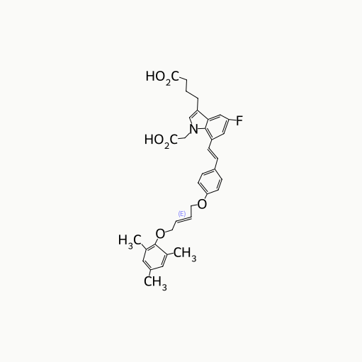 Cc1cc(C)c(OC/C=C/COc2ccc(C=Cc3cc(F)cc4c(CCCC(=O)O)cn(CC(=O)O)c34)cc2)c(C)c1